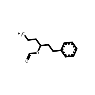 CCCC(CCc1ccccc1)OC=O